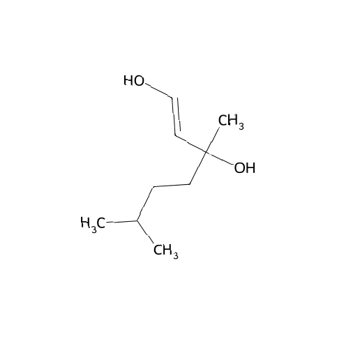 CC(C)CCC(C)(O)C=CO